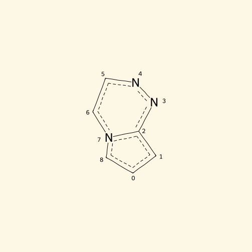 c1cc2nnccn2c1